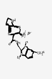 CCn1c(CNC(=O)c2nc3cc[nH]c3nc2N)[n+](CC)c2ccc(C(=O)O)cc21.[Br-]